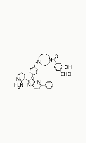 Nc1ncccc1-c1nc2ccc(-c3ccccc3)nc2n1-c1ccc(CN2CCCCN(C(=O)c3ccc(C=O)c(O)c3)CCC2)cc1